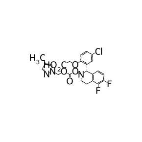 Cc1cnn(COC(=O)ON2CCc3c(ccc(F)c3F)[C@H]2c2cc(Cl)ccc2OCC(=O)O)c1